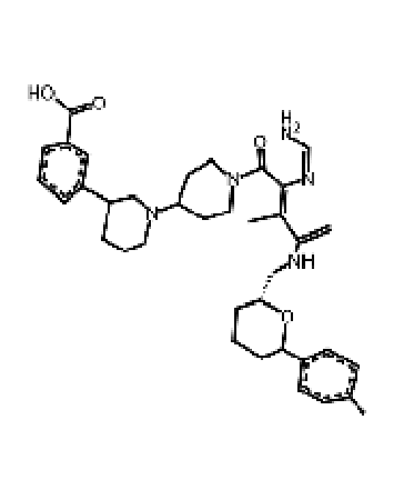 C=C(NC[C@H]1CCCC(c2ccc(C)cc2)O1)/C(C)=C(\N=C/N)C(=O)N1CCC(N2CCCC(c3cccc(C(=O)O)c3)C2)CC1